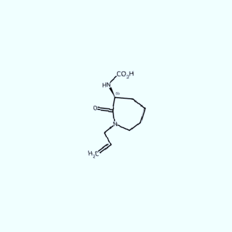 C=CCN1CCCC[C@H](NC(=O)O)C1=O